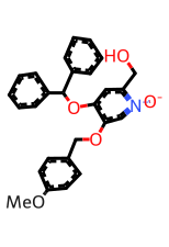 COc1ccc(COc2c[n+]([O-])c(CO)cc2OC(c2ccccc2)c2ccccc2)cc1